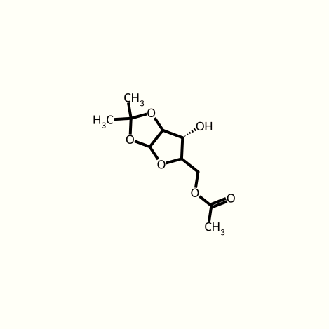 CC(=O)OCC1OC2OC(C)(C)OC2[C@@H]1O